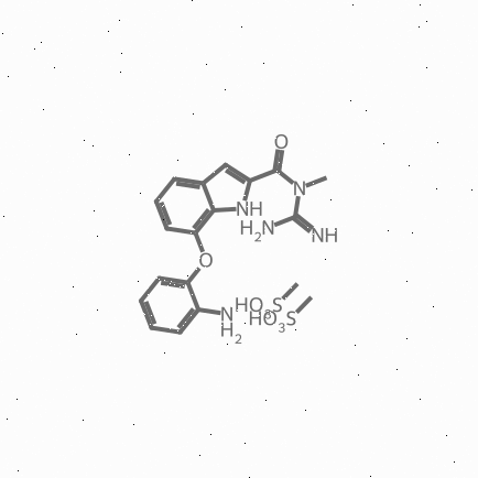 CN(C(=N)N)C(=O)c1cc2cccc(Oc3ccccc3N)c2[nH]1.CS(=O)(=O)O.CS(=O)(=O)O